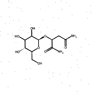 NC(=O)CC(O[C@H]1OC(CO)[C@H](O)C(O)C1O)C(N)=O